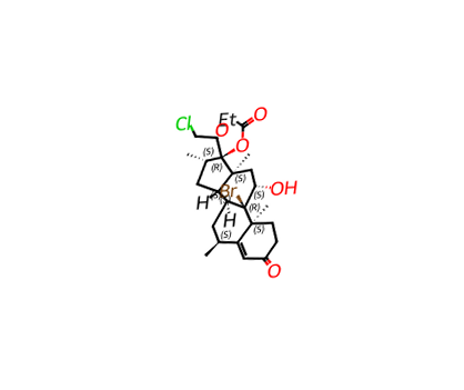 CCC(=O)O[C@]1(C(=O)CCl)[C@@H](C)C[C@H]2[C@@H]3C[C@H](C)C4=CC(=O)CC[C@]4(C)[C@@]3(Br)[C@@H](O)C[C@@]21C